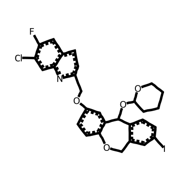 Fc1cc2ccc(COc3ccc4c(c3)C(OC3CCCCO3)c3ccc(I)cc3CO4)nc2cc1Cl